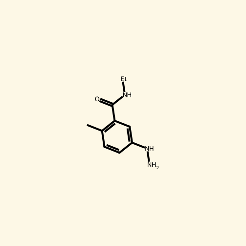 CCNC(=O)c1cc(NN)ccc1C